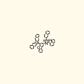 c1ccc2cc(C3N=C(c4cc(-n5c6cc7ccccc7cc6c6cc7ccccc7cc65)c5oc6ccccc6c5c4)N=C(c4cccc5ccccc45)N3)ccc2c1